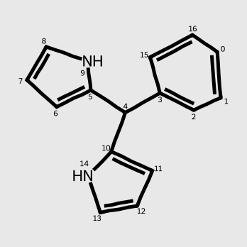 c1ccc(C(c2ccc[nH]2)c2ccc[nH]2)cc1